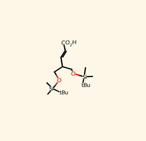 CC(C)(C)[Si](C)(C)OCC(/C=C/C(=O)O)CO[Si](C)(C)C(C)(C)C